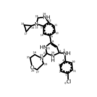 Clc1ccc(NC2C=C(c3ccc4c(c3)N(C3CC3)CN4)NC(N3CCOCC3)N2)cc1